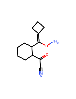 N#CC(=O)C1CCCCC1C(ON)=C1CCC1